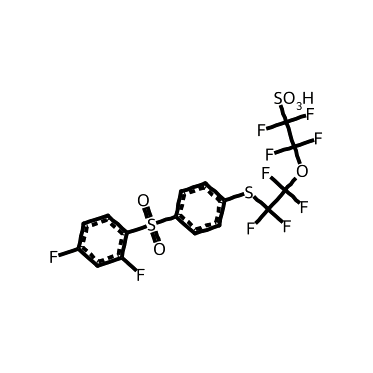 O=S(=O)(c1ccc(SC(F)(F)C(F)(F)OC(F)(F)C(F)(F)S(=O)(=O)O)cc1)c1ccc(F)cc1F